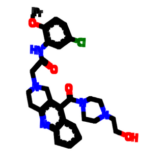 CC(C)Oc1ccc(Cl)cc1NC(=O)CN1CCc2nc3ccccc3c(C(=O)N3CCN(CCO)CC3)c2C1